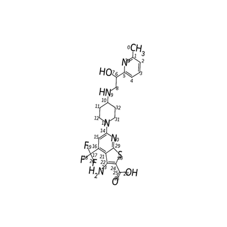 Cc1cccc(C(O)CNC2CCN(c3cc(C(F)(F)F)c4c(N)c(C(=O)O)sc4n3)CC2)n1